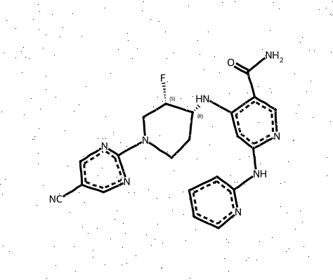 N#Cc1cnc(N2CC[C@@H](Nc3cc(Nc4ccccn4)ncc3C(N)=O)[C@@H](F)C2)nc1